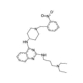 CCN(CC)CCCNc1nc(NC2CCN(Cc3ccccc3[N+](=O)[O-])CC2)c2ccccc2n1